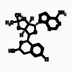 CC1(C)O[C@@H]2[C@H](O1)C([C@@H]1OC(O)Cc3cc(Cl)ccc31)O[C@H]2n1ccc2c(N)ncnc21